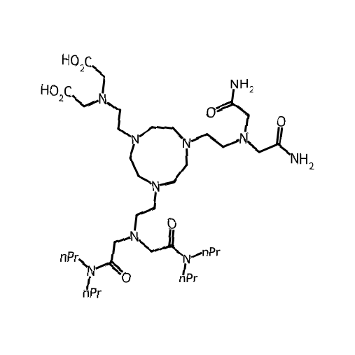 CCCN(CCC)C(=O)CN(CCN1CCN(CCN(CC(N)=O)CC(N)=O)CCN(CCN(CC(=O)O)CC(=O)O)CC1)CC(=O)N(CCC)CCC